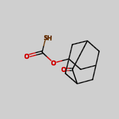 O=C(S)OC12CC3CC(C1)C(=O)C(C3)C2